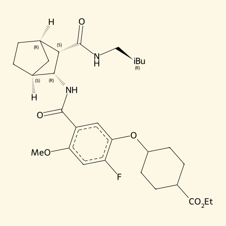 CCOC(=O)C1CCC(Oc2cc(C(=O)N[C@@H]3[C@H]4CC[C@H](C4)[C@@H]3C(=O)NC[C@H](C)CC)c(OC)cc2F)CC1